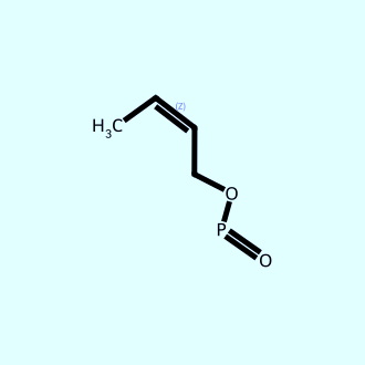 C/C=C\COP=O